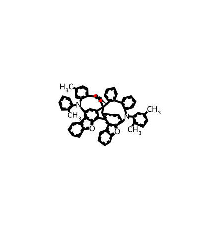 Cc1ccc(C)c(N2c3ccccc3-c3ccccc3C34c5ccccc5-c5ccc(C)cc5N(c5ccccc5C)c5cc3c(c3oc6ccccc6c53)-c3c4cc2c2oc4ccccc4c32)c1